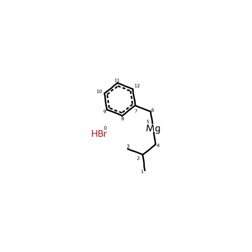 Br.CC(C)[CH2][Mg][CH2]c1ccccc1